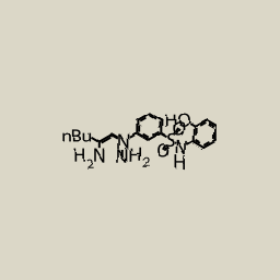 CCCC/C(N)=C/N(N)c1cccc(S(=O)(=O)Nc2ccccc2O)c1